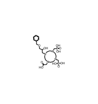 O=C(O)CN1CCN(CC(O)COCc2ccccc2)CCN(CP(=O)(O)O)CCN(CP(=O)(O)O)CC1